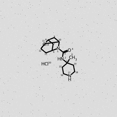 CC1(NC(=O)N2C3CC4CC2CC(C3)O4)CCNCC1.Cl